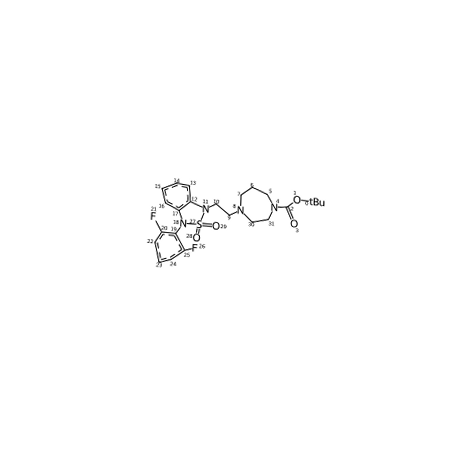 CC(C)(C)OC(=O)N1CCCN(CCN2c3ccccc3N(c3c(F)cccc3F)S2(=O)=O)CC1